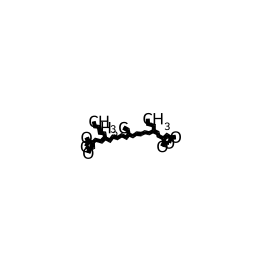 C=CC(C/C=C/CC/C(=C\CC1CC(=O)OC1=O)CCC)CC/C=C/C/C(=C/CC1CC(=O)OC1=O)C/C=C/CC